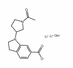 CC(=O)N1CCC(N2CCc3ccc(C(=O)[O-])cc32)C1.[Li+].[Li+].[OH-]